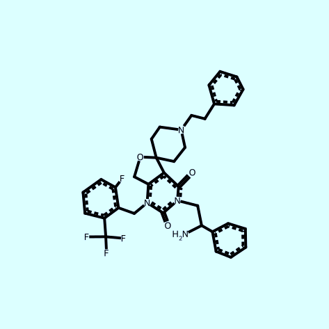 NC(Cn1c(=O)c2c(n(Cc3c(F)cccc3C(F)(F)F)c1=O)COC21CCN(CCc2ccccc2)CC1)c1ccccc1